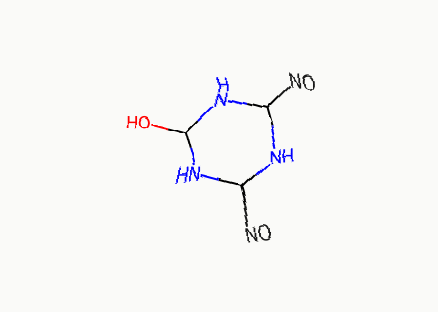 O=NC1NC(O)NC(N=O)N1